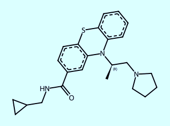 C[C@H](CN1CCCC1)N1c2ccccc2Sc2ccc(C(=O)NCC3CC3)cc21